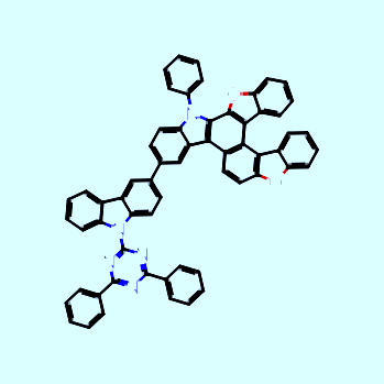 c1ccc(-c2nc(-c3ccccc3)nc(-n3c4ccccc4c4cc(-c5ccc6c(c5)c5c7ccc8oc9ccccc9c8c7c7c8ccccc8oc7c5n6-c5ccccc5)ccc43)n2)cc1